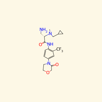 CN(CC1CC1)[C@@H](CN)C(=O)Nc1ccc(N2CCOCC2=O)cc1C(F)(F)F